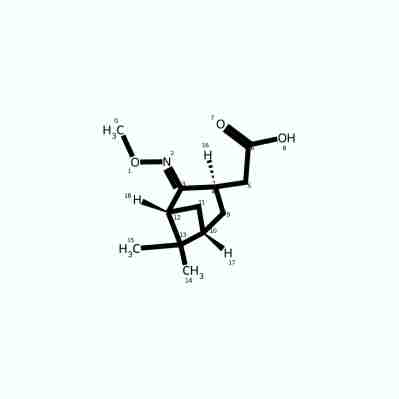 CO/N=C1/[C@@H](CC(=O)O)C[C@H]2C[C@@H]1C2(C)C